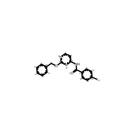 O=C(Nc1ccnc(OCc2ccccc2)n1)c1ccc(I)cc1